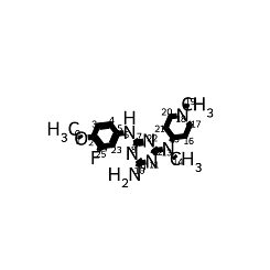 COc1ccc(Nc2nc(N)nc(N(C)C3CCN(C)CC3)n2)cc1F